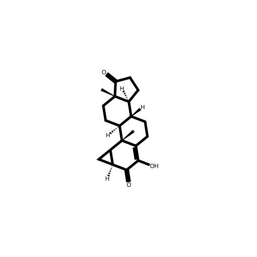 C[C@]12CC[C@H]3[C@@H](CCC4=C(O)C(=O)[C@H]5CC5[C@@]43C)[C@@H]1CCC2=O